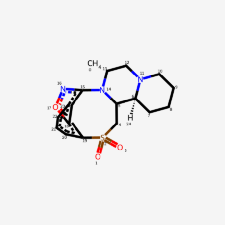 C.O=S1(=O)CC2[C@@H]3CCCCN3CCN2c2noc3c1cccc23